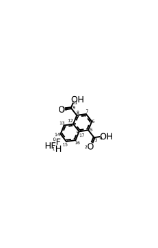 F.F.O=C(O)c1ccc(C(=O)O)c2ccccc12